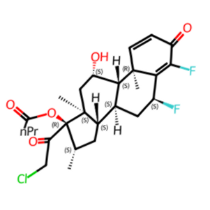 CCCC(=O)O[C@]1(C(=O)CCl)[C@@H](C)C[C@H]2[C@@H]3C[C@H](F)C4=C(F)C(=O)C=C[C@]4(C)[C@H]3[C@@H](O)C[C@@]21C